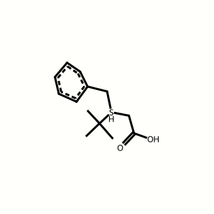 CC(C)(C)[SH](CC(=O)O)Cc1ccccc1